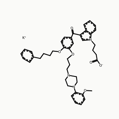 COc1ccccc1N1CCN(CCCOc2cc(C(=O)c3cn(CCCC(=O)[O-])c4ccccc34)ccc2OCCCCc2ccccc2)CC1.[K+]